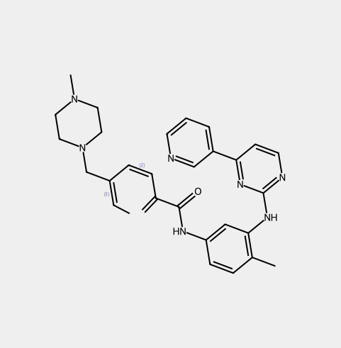 C=C(/C=C\C(=C/C)CN1CCN(C)CC1)C(=O)Nc1ccc(C)c(Nc2nccc(-c3cccnc3)n2)c1